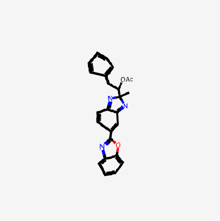 CC(=O)OC(Cc1ccccc1)C1(C)N=c2ccc(-c3nc4ccccc4o3)cc2=N1